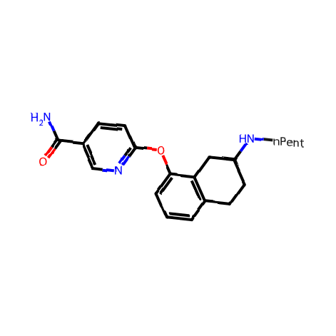 CCCCCNC1CCc2cccc(Oc3ccc(C(N)=O)cn3)c2C1